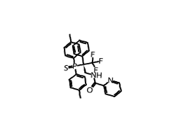 Cc1ccc(P(=S)(c2ccc(C)cc2)[C@](CNC(=O)c2ccccn2)(c2ccccc2)C(F)(F)F)cc1